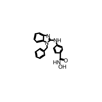 O=C(NO)c1ccc(Nc2nc3ccccc3n2Cc2ccccc2)cc1